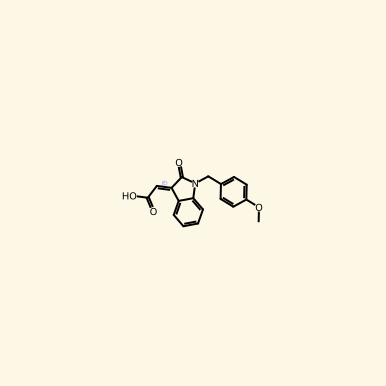 COc1ccc(CN2C(=O)/C(=C/C(=O)O)c3ccccc32)cc1